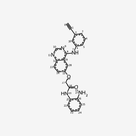 C#Cc1cccc(Nc2ncnc3ccc(OCC(=O)Nc4ccccc4N)cc23)c1